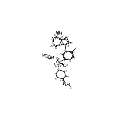 Cc1ccc(S(=O)(=O)N[C@H]2CC[C@H](N)CC2)cc1-c1cnc2c(N)nccn12.Cl.Cl